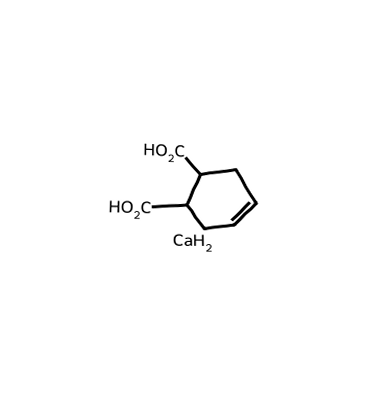 O=C(O)C1CC=CCC1C(=O)O.[CaH2]